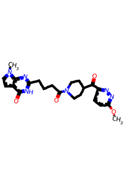 COc1ccc(C(=O)C2CCN(C(=O)CCCc3nc4c(ccn4C)c(=O)[nH]3)CC2)nn1